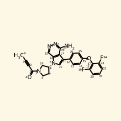 CC#CC(=O)N1CC[C@@H](n2cc(-c3ccc(Oc4c(F)cccc4F)cc3)c3c(N)nncc32)C1